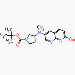 CN(c1cnc2nc(O)ccc2c1)C1CCN(C(=O)OC(C)(C)C)C1